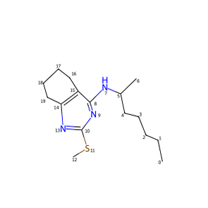 CCCCCC(C)Nc1nc(SC)nc2c1CCCC2